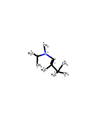 C/C(=C\N(C)C(C)C)C(C)(C)C